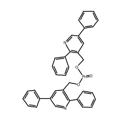 O=[PH](OCc1cc(-c2ccccc2)cnc1-c1ccccc1)OCc1cc(-c2ccccc2)cnc1-c1ccccc1